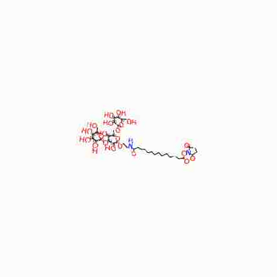 O=C(CCCCCCCCCCCCC(=O)ON1C(=O)CCC1=O)NCCO[C@@H]1O[C@H](CO[C@H]2O[C@H](CO)[C@@H](O)[C@H](O)[C@@H]2O)[C@@H](O)[C@H](O[C@H]2O[C@H](CO)[C@@H](O)[C@H](O)[C@@H]2O)[C@@H]1O